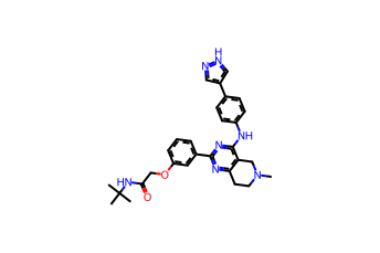 CN1CCc2nc(-c3cccc(OCC(=O)NC(C)(C)C)c3)nc(Nc3ccc(-c4cn[nH]c4)cc3)c2C1